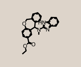 CCOC(=O)c1ccc2c(c1)C(N(C)c1nc3ccccc3[nH]1)c1ccccc1CO2